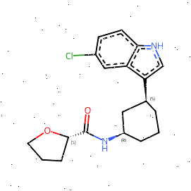 O=C(N[C@@H]1CCC[C@H](c2c[nH]c3ccc(Cl)cc23)C1)[C@@H]1CCCO1